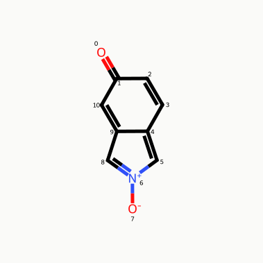 O=C1C=CC2=C[N+]([O-])=CC2=C1